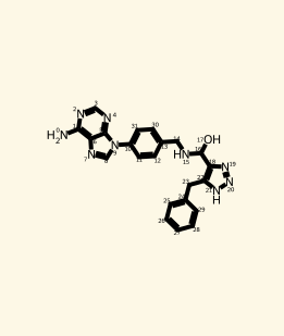 Nc1ncnc2c1ncn2-c1ccc(CNC(O)c2nn[nH]c2Cc2ccccc2)cc1